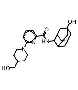 O=C(NC1C2CC3CC1CC(O)(C3)C2)c1cccc(N2CCC(CO)CC2)n1